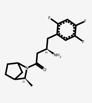 C[C@H]1C2CCC(C2)N1C(=O)C[C@H](N)Cc1cc(F)c(F)cc1F